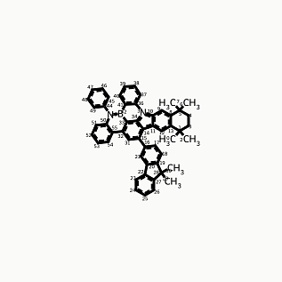 CC1(C)CCC(C)(C)c2cc3c(cc21)c1c(-c2ccc4c(c2)-c2ccccc2C4(C)C)cc2c4c1n3-c1ccccc1B4N(c1ccccc1)c1ccccc1-2